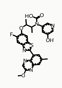 COc1cnc2c(-c3nc4cc(F)c(OC(C)C(C)N(C(=O)O)c5cncc(O)c5)cc4s3)cc(C)cc2n1